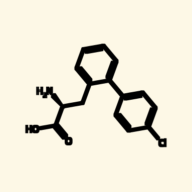 N[C@@H](Cc1ccccc1-c1ccc(Cl)cc1)C(=O)O